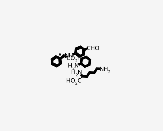 CC(=O)Nc1ccc(C=O)cc1.NC1CCCCC1.NCCCC[C@@H](N)C(=O)O.O=C(O)Cc1ccccc1